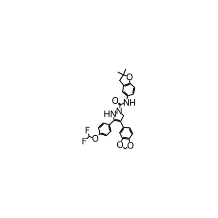 CC1(C)Cc2cc(NC(=O)N3CC(c4ccc5c(c4)OCO5)=C(c4ccc(OC(F)F)cc4)N3)ccc2O1